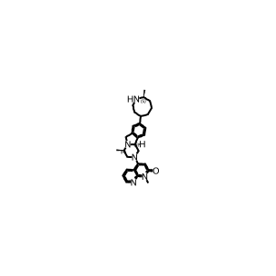 C[C@@H]1CN(c2cc(=O)n(C)c3ncccc23)C[C@@H]2c3ccc(C4CCC[C@H](C)NCC4)cc3CN12